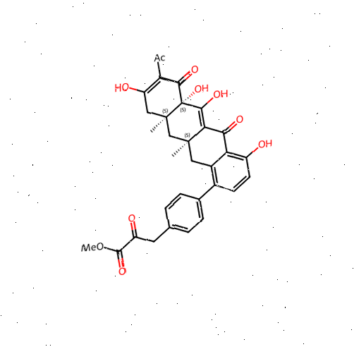 COC(=O)C(=O)Cc1ccc(-c2ccc(O)c3c2C[C@@]2(C)C[C@@]4(C)CC(O)=C(C(C)=O)C(=O)[C@@]4(O)C(O)=C2C3=O)cc1